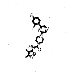 Cc1noc(NC(=O)N2CCN(c3cncc(-c4ccc(F)cc4F)n3)CC2)c1C